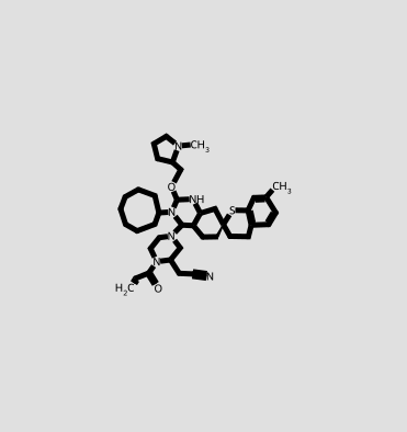 C=CC(=O)N1CCN(C2C3CC[C@@]4(CCc5ccc(C)cc5S4)CC3NC(OCC3CCCN3C)N2C2CCCCCCC2)CC1CC#N